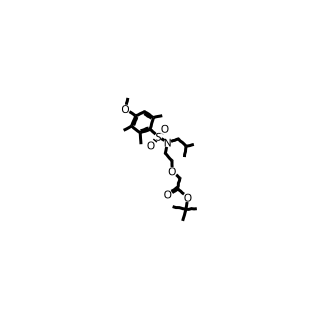 COc1cc(C)c(S(=O)(=O)N(CCOCC(=O)OC(C)(C)C)CC(C)C)c(C)c1C